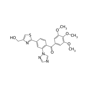 COc1cc(C(=O)c2ccc(-c3nc(CO)cs3)cc2-n2cncn2)cc(OC)c1OC